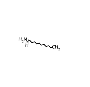 C=CCCCCCCCCCNN